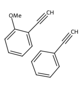 C#Cc1ccccc1.C#Cc1ccccc1OC